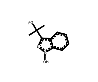 CC(C)(O)c1nn(O)c2ccccc12